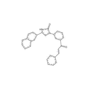 O=C(/C=C/c1ccccc1)c1cccc(-n2cc(-c3ccc4ccccc4c3)[nH]c2=O)c1